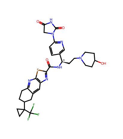 O=C1CN(c2ccc([C@@H](CCN3CCC(O)CC3)NC(=O)c3nc4cc5c(nc4s3)CCC(C3(C(F)(F)F)CC3)C5)cn2)C(=O)N1